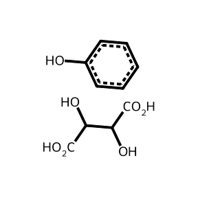 O=C(O)C(O)C(O)C(=O)O.Oc1ccccc1